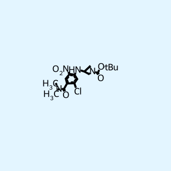 CN(C)C(=O)c1cc([N+](=O)[O-])c(NC2CN(C(=O)OC(C)(C)C)C2)cc1Cl